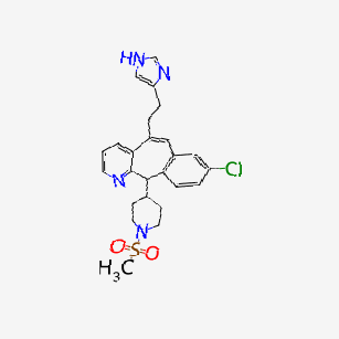 CS(=O)(=O)N1CCC(C2c3ccc(Cl)cc3C=C(CCc3c[nH]cn3)c3cccnc32)CC1